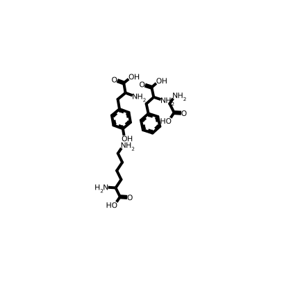 NC(Cc1ccc(O)cc1)C(=O)O.NC(Cc1ccccc1)C(=O)O.NCC(=O)O.NCCCCC(N)C(=O)O